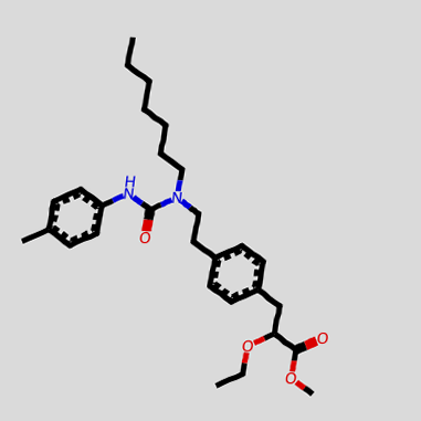 CCCCCCCN(CCc1ccc(CC(OCC)C(=O)OC)cc1)C(=O)Nc1ccc(C)cc1